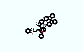 c1ccc(-c2ccc(N(c3cccc(C4(c5ccccc5)c5ccccc5-c5ccccc54)c3)c3cccc4c3C(c3ccccc3CCc3nc5ccccc5o3)CO4)cc2)cc1